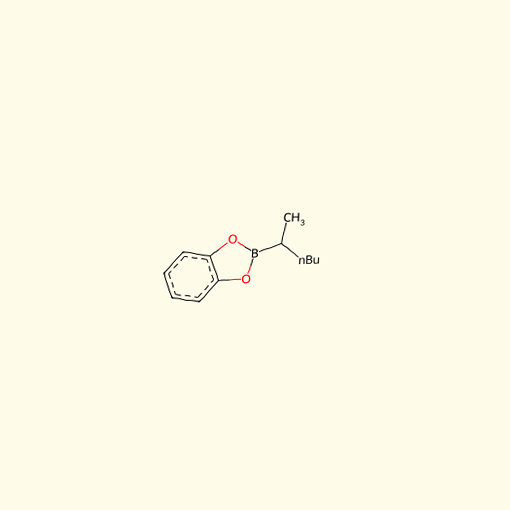 CCCCC(C)B1Oc2ccccc2O1